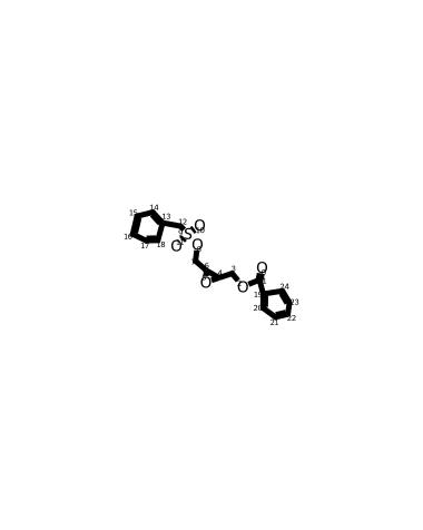 O=C(OCC1OC1COS(=O)(=O)Cc1ccccc1)c1ccccc1